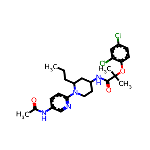 CCCC1CC(NC(=O)C(C)(C)Oc2ccc(Cl)cc2Cl)CCN1c1ccc(NC(C)=O)cn1